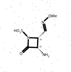 CO/N=C/[C@@H]1[C@H](N)C(=O)N1S(=O)(=O)O